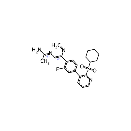 C=N/C(=C\N=C(/C)N)c1ccc(-c2cccnc2S(=O)(=O)C2CCCCC2)cc1F